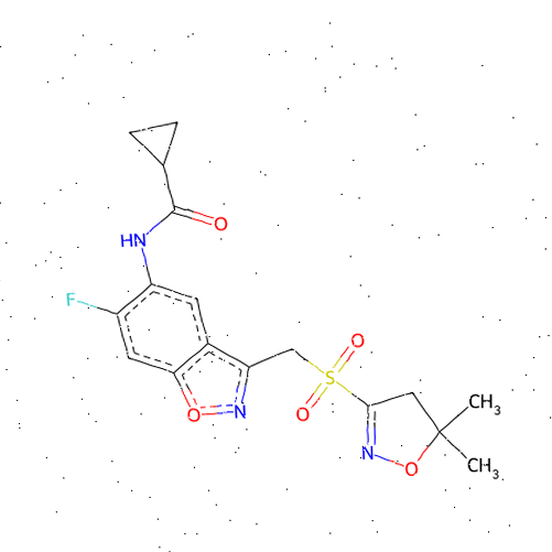 CC1(C)CC(S(=O)(=O)Cc2noc3cc(F)c(NC(=O)C4CC4)cc23)=NO1